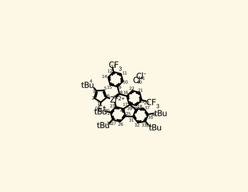 CCC1C=C(C(C)(C)C)C=[C]1[Zr+2](=[C](c1ccc(C(F)(F)F)cc1)c1ccc(C(F)(F)F)cc1)[c]1c2c(cc(C(C)(C)C)c1C(C)(C)C)-c1cc(C(C)(C)C)c(C(C)(C)C)cc1C2.[Cl-].[Cl-]